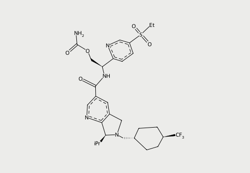 CCS(=O)(=O)c1ccc([C@H](COC(N)=O)NC(=O)c2cnc3c(c2)CN(C[C@H]2CC[C@H](C(F)(F)F)CC2)[C@H]3C(C)C)nc1